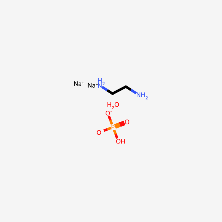 NCCN.O.O=P([O-])([O-])O.[Na+].[Na+]